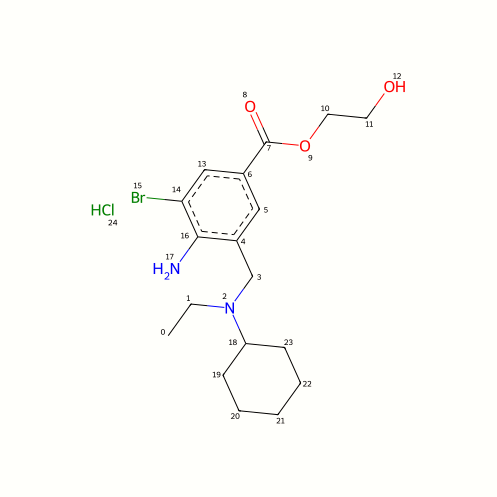 CCN(Cc1cc(C(=O)OCCO)cc(Br)c1N)C1CCCCC1.Cl